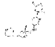 Fc1ccc(F)c(-c2ccc(N[C@@H]3[C@@H]4CN(CC5CCOCC5)C[C@@H]43)nn2)c1